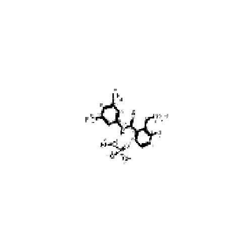 CCOP(=O)(O)O.O=C(O)Cc1c(Cl)cccc1C(=O)Nc1cc(C(F)(F)F)cc(C(F)(F)F)c1